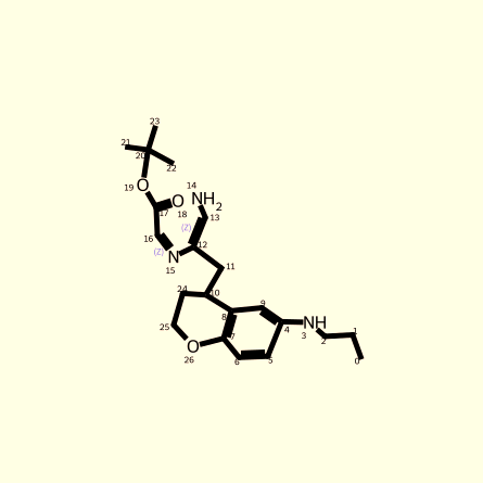 CCCNc1ccc2c(c1)C(CC(=C/N)/N=C\C(=O)OC(C)(C)C)CCO2